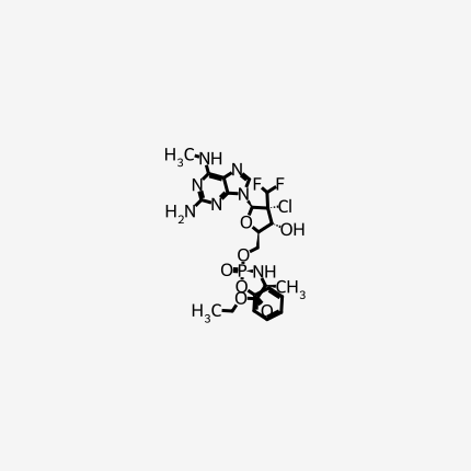 CCOC(=O)[C@H](C)N[P@@](=O)(OC[C@H]1O[C@@H](n2cnc3c(NC)nc(N)nc32)[C@@](Cl)(C(F)F)[C@@H]1O)Oc1ccccc1